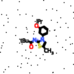 Cc1cn(-c2cccc(OC(C)C)c2)/c(=N/C(=O)C(C)(C)C)s1